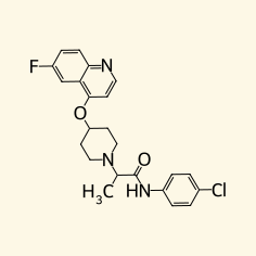 CC(C(=O)Nc1ccc(Cl)cc1)N1CCC(Oc2ccnc3ccc(F)cc23)CC1